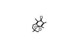 CC1=C(C)[C@]23OCC(C)(CCC2=C(C)C1=O)O3